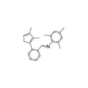 CC1=CCC(c2ccccc2C=Nc2c(C)cc(C)cc2C)=C1C